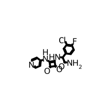 NC(=O)C(Nc1c(Nc2ccncc2)c(=O)c1=O)c1ccc(F)c(Cl)c1